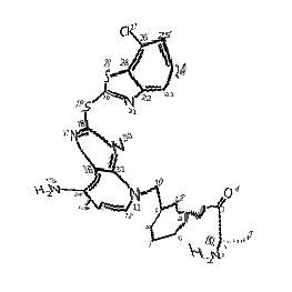 C[C@H](N)C(=O)N1CCCC(Cn2cnc(N)c3nc(Sc4nc5cccc(Cl)c5s4)nc2-3)C1